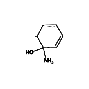 NC1(O)[CH]C=CC=C1